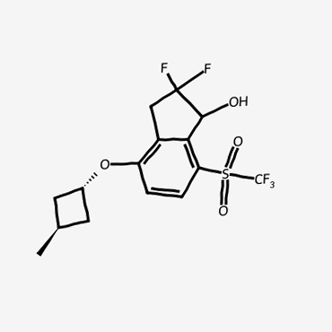 C[C@H]1C[C@H](Oc2ccc(S(=O)(=O)C(F)(F)F)c3c2CC(F)(F)C3O)C1